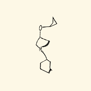 C1CCC(N2CC(OC3CC3)C2)CC1